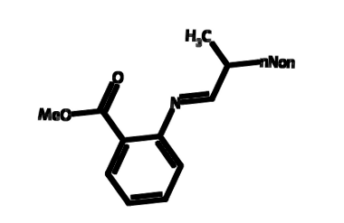 CCCCCCCCCC(C)C=Nc1ccccc1C(=O)OC